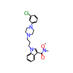 CON(C)C(=O)c1cn(CCCN2CCN(c3cccc(Cl)c3)CC2)c2ccccc12